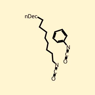 CCCCCCCCCCCCCCCCCCN=C=O.O=C=Nc1ccccc1